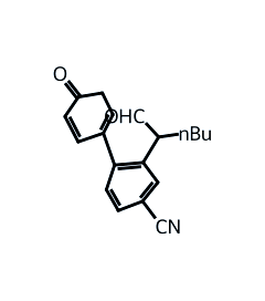 CCCCC(C=O)c1cc(C#N)ccc1C1=CCC(=O)C=C1